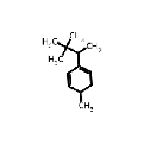 CC1C=CC(C(C)C(C)(C)C)=CC1